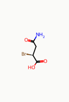 NC(=O)C[C@H](Br)C(=O)O